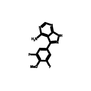 COc1c(F)cc(-c2n[nH]c3ncnc(N)c23)cc1F